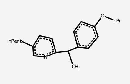 CCCCCc1ccc(C(C)c2ccc(OCCC)cc2)nc1